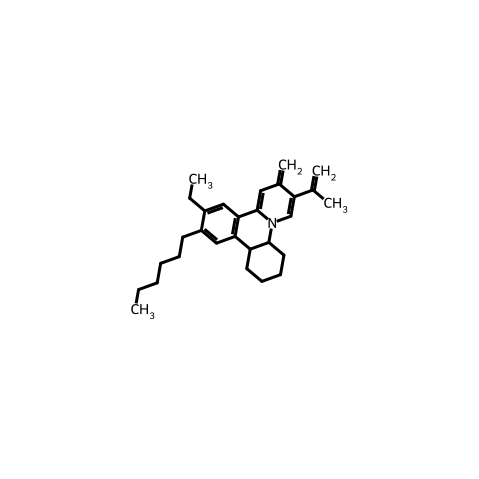 C=C(C)C1=CN2C(=CC1=C)c1cc(CC)c(CCCCCC)cc1C1CCCCC12